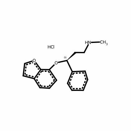 CNCC[C@H](Oc1cccc2ccoc12)c1ccccc1.Cl